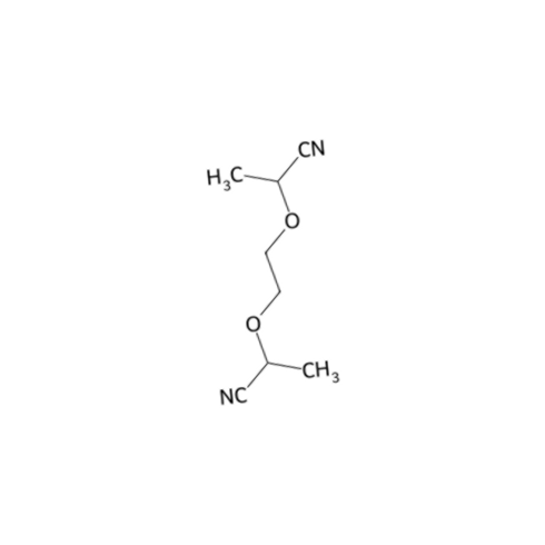 CC(C#N)OCCOC(C)C#N